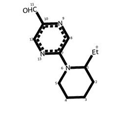 CCC1CCCCN1c1cnc(C=O)cn1